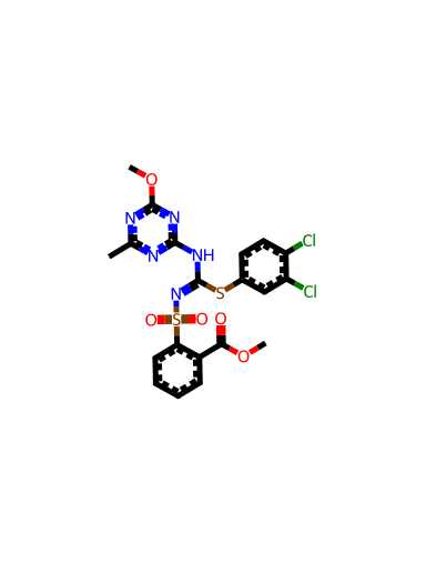 COC(=O)c1ccccc1S(=O)(=O)N=C(Nc1nc(C)nc(OC)n1)Sc1ccc(Cl)c(Cl)c1